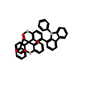 c1ccc(-c2cccc3c2C2(c4ccccc4Sc4ccccc42)c2cc(-c4cccc5c6ccccc6n(-c6ccccc6)c45)ccc2S3)cc1